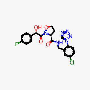 O=C(NCc1cc(Cl)ccc1-n1cnnn1)[C@@H]1CCON1C(=O)[C@H](O)c1ccc(F)cc1